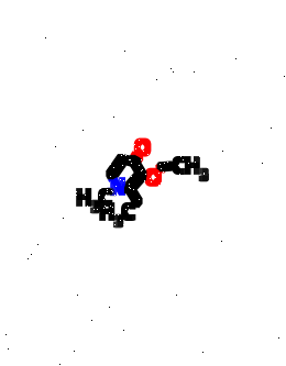 CCOc1c(CC)n(C)ccc1=O